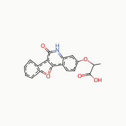 CC(Oc1ccc2c(c1)[nH]c(=O)c1c3ccccc3oc21)C(=O)O